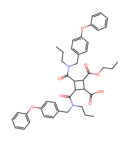 CCCOC(=O)C1C(C(=O)O)C(C(=O)N(CCC)Cc2ccc(Oc3ccccc3)cc2)C1C(=O)N(CCC)Cc1ccc(Oc2ccccc2)cc1